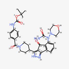 CC(C)(C)OC(=O)Nc1ccc(C(=O)N2CCC(c3[nH]nc4c3C(=O)c3c-4cccc3N(C(N)=O)N3CCOCC3)CC2)cc1